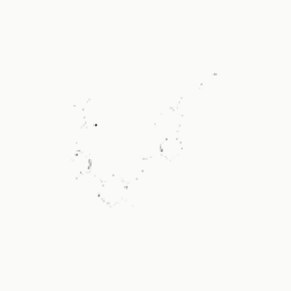 Cc1ccc(-c2noc(C[C@H](O)C(F)F)n2)cc1NC(=O)c1cnc2cc(OCC(C)O)ccn12